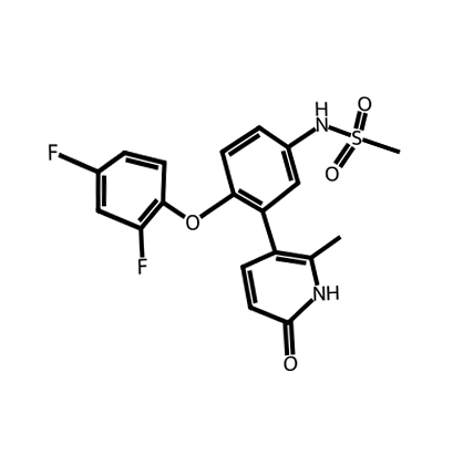 Cc1[nH]c(=O)ccc1-c1cc(NS(C)(=O)=O)ccc1Oc1ccc(F)cc1F